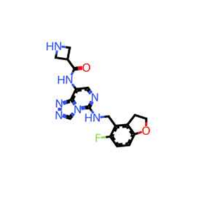 O=C(Nc1cnc(NCc2c(F)ccc3c2CCO3)n2cnnc12)C1CNC1